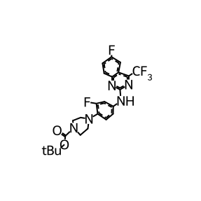 CC(C)(C)OC(=O)N1CCN(c2ccc(Nc3nc(C(F)(F)F)c4cc(F)ccc4n3)cc2F)CC1